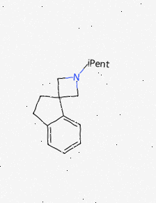 CCCC(C)N1CC2(CCc3ccccc32)C1